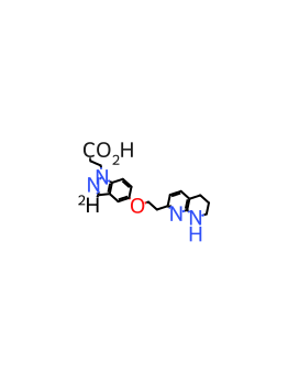 [2H]c1nn(CCC(=O)O)c2ccc(OCCc3ccc4c(n3)NCCC4)cc12